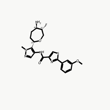 COc1cccc(-c2nc(C(=O)Nc3cnn(C)c3[C@@H]3CC[C@@H](N)[C@H](F)CO3)cs2)c1